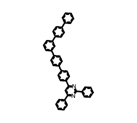 c1ccc(-c2ccc(-c3cccc(-c4ccc(-c5ccc(-c6cc(-c7ccccc7)nc(-c7ccccc7)n6)cc5)cc4)c3)cc2)cc1